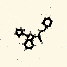 O=C(OCc1ccccc1)n1nc(-c2ccc[nH]2)c2cccnc21